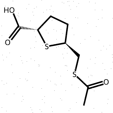 CC(=O)SC[C@@H]1CC[C@@H](C(=O)O)S1